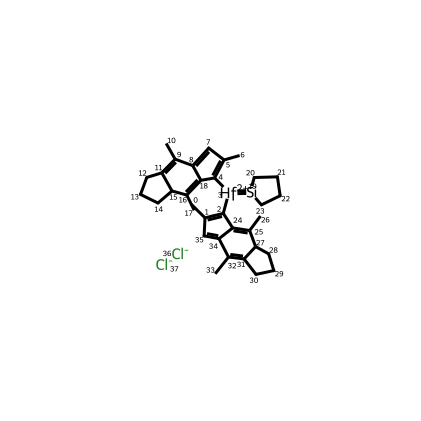 CC1=[C]([Hf+2]([C]2=C(C)C=C3C(C)=C4CCCC4C(C)=C32)=[Si]2CCCC2)C2=C(C)C3CCCC3=C(C)C2=C1.[Cl-].[Cl-]